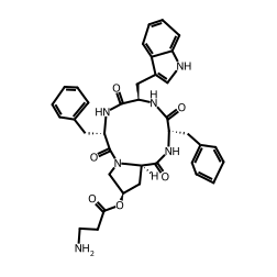 NCCC(=O)O[C@@H]1C[C@@H]2C(=O)N[C@@H](Cc3ccccc3)C(=O)N[C@H](Cc3c[nH]c4ccccc34)C(=O)N[C@@H](Cc3ccccc3)C(=O)N2C1